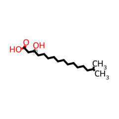 CC(C)CCCCCCCCCCC[C@@H](O)CC(=O)O